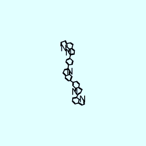 c1cnc2c(-c3ccc4ccc(-c5ccc6ccc(-c7ccc(-c8ccc9ccc%10cccnc%10c9n8)cc7)nc6c5)cc4n3)cccc2c1